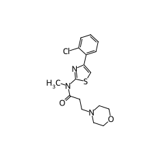 CN(C(=O)CCN1CCOCC1)c1nc(-c2ccccc2Cl)cs1